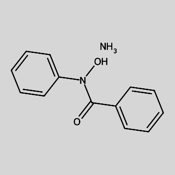 N.O=C(c1ccccc1)N(O)c1ccccc1